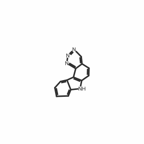 c1ccc2c(c1)[nH]c1ccc3cnnnc3c12